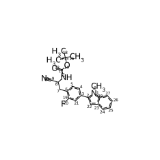 Cn1c(-c2ccc(CC(C#N)NC(=O)OC(C)(C)C)c(F)c2)cc2ccccc21